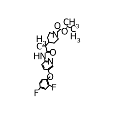 CC(C)OC(=O)N1CCC(C(C)C(=O)Nc2ccc(Oc3ccc(F)cc3F)cn2)CC1